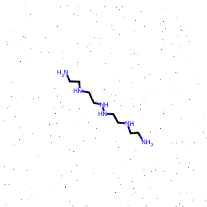 NCCNCCNNCCNCCN